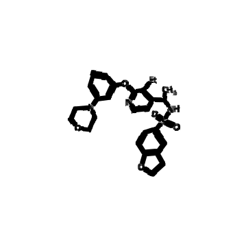 CCc1c(C(C)NS(=O)(=O)c2ccc3c(c2)CCO3)ccnc1Oc1cccc(N2CCOCC2)c1